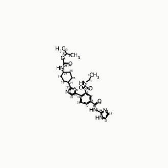 CCNS(=O)(=O)c1cc(C(=O)Nc2ncc[nH]2)ccc1-c1cnc(C2CCC(NC(=O)OC(C)C)CC2)s1